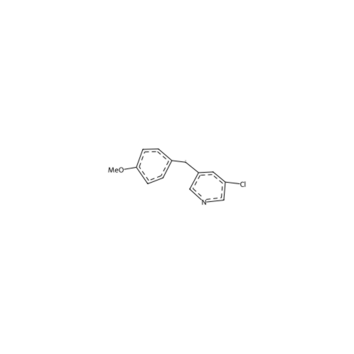 COc1ccc([CH]c2cncc(Cl)c2)cc1